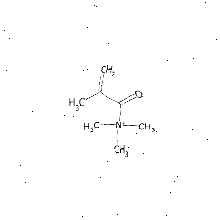 C=C(C)C(=O)[N+](C)(C)C